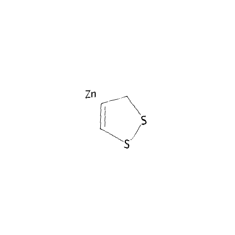 C1=CSSC1.[Zn]